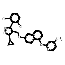 Cc1ccnc(Oc2cccc3cc(OCc4c(-c5c(Cl)cccc5Cl)noc4C4CC4)ccc23)c1